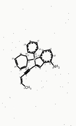 C/C=C\C#CC1=Cc2c(N)cccc2[Si]1(c1ccccc1)C1C=CC=CCC1